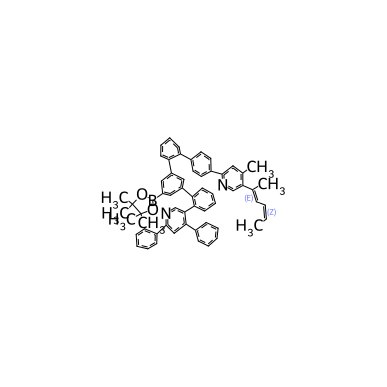 C/C=C\C=C(/C)c1cnc(-c2ccc(-c3ccccc3-c3cc(B4OC(C)(C)C(C)(C)O4)cc(-c4ccccc4-c4cnc(-c5ccccc5)cc4-c4ccccc4)c3)cc2)cc1C